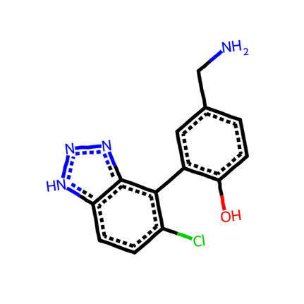 NCc1ccc(O)c(-c2c(Cl)ccc3[nH]nnc23)c1